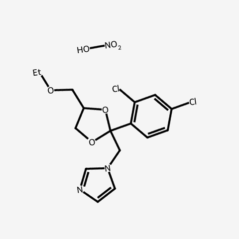 CCOCC1COC(Cn2ccnc2)(c2ccc(Cl)cc2Cl)O1.O=[N+]([O-])O